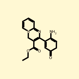 CCOC(=O)C1=C(C2=CC(=O)CC=C2N)N=C2C=CC=CN2C1